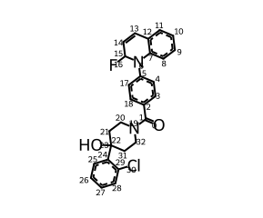 O=C(c1ccc(N2c3ccccc3C=CC2F)cc1)N1CCC(O)(c2ccccc2Cl)CC1